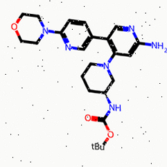 CC(C)(C)OC(=O)N[C@H]1CCCN(c2cc(N)ncc2-c2ccc(N3CCOCC3)nc2)C1